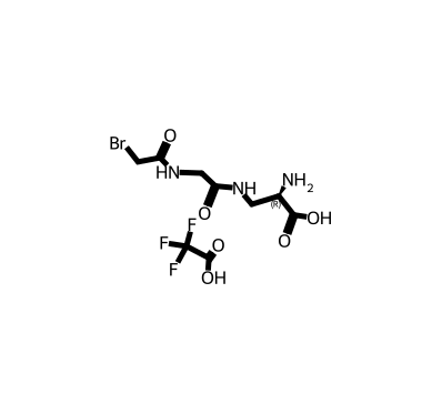 N[C@H](CNC(=O)CNC(=O)CBr)C(=O)O.O=C(O)C(F)(F)F